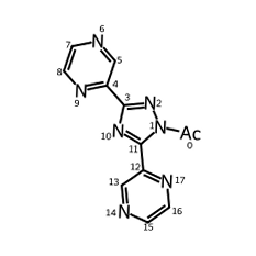 CC(=O)n1nc(-c2cnccn2)nc1-c1cnccn1